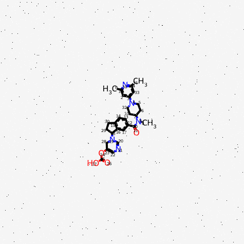 Cc1cc(N2CCC(N(C)C(=O)c3ccc4c(c3)C(N3C=NC=C(OC(=O)O)C3)CC4)CC2)cc(C)n1